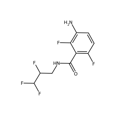 Nc1ccc(F)c(C(=O)NCC(F)C(F)F)c1F